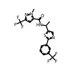 CC(NC(=O)c1cc(C(F)(F)F)nn1C)c1cnc(-c2cccc(C(F)(F)F)c2)s1